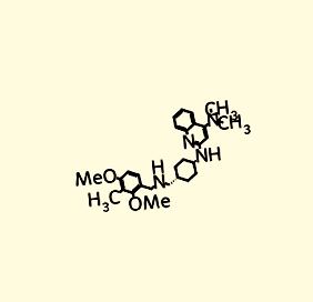 COc1ccc(CNC[C@H]2CC[C@@H](Nc3cc(N(C)C)c4ccccc4n3)CC2)c(OC)c1C